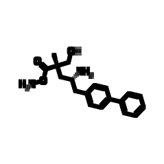 C[C@@](CO)(C[C@H](N)Cc1ccc(-c2ccccc2)cc1)C(=O)ON